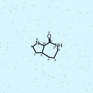 O=C1NCCCC2CC[N]C12